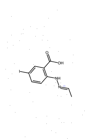 C/C=N/Nc1ccc(I)cc1C(=O)O